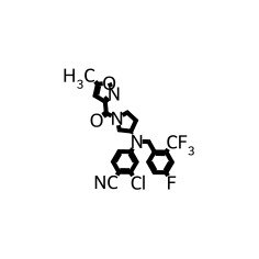 Cc1cc(C(=O)N2CC[C@H](N(Cc3ccc(F)cc3C(F)(F)F)c3ccc(C#N)c(Cl)c3)C2)no1